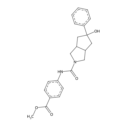 COC(=O)c1ccc(NC(=O)N2CC3CC(O)(c4ccccc4)CC3C2)cc1